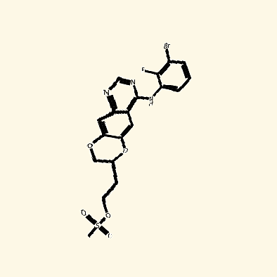 CS(=O)(=O)OCCC1COc2cc3ncnc(Nc4cccc(Br)c4F)c3cc2O1